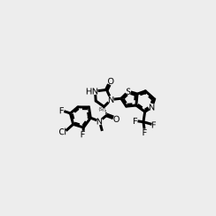 CN(C(=O)[C@@H]1CNC(=O)N1c1cc2c(C(F)(F)F)nccc2s1)c1ccc(F)c(Cl)c1F